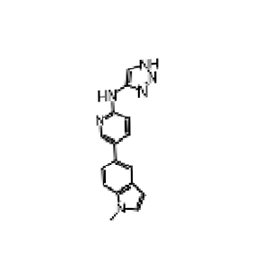 Cn1ccc2cc(-c3ccc(Nc4c[nH]nn4)nc3)ccc21